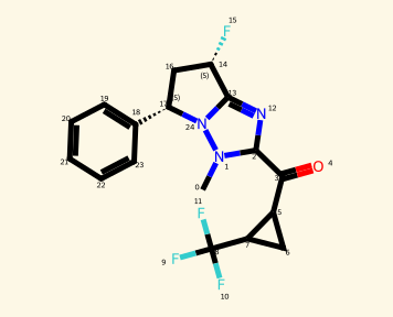 CN1C(C(=O)C2CC2C(F)(F)F)N=C2[C@@H](F)C[C@@H](c3ccccc3)N21